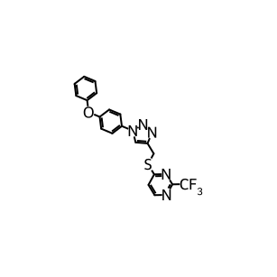 FC(F)(F)c1nccc(SCc2cn(-c3ccc(Oc4ccccc4)cc3)nn2)n1